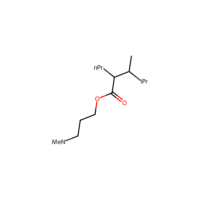 CCCC(C(=O)OCCCNC)C(C)C(C)C